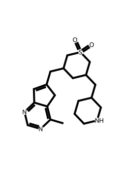 Cc1ncnc2c1CC(CC1CC(CC3CCCNC3)CS(=O)(=O)C1)=C2